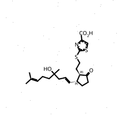 CC(C)=CCCC(C)(O)CC=C[C@H]1CCC(=O)[C@@H]1CCSc1nc(C(=O)O)cs1